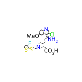 COc1ccc2ncc(Cl)c([C@H](N)CCC3CCN(CCSc4sccc4F)CC3CC(=O)O)c2c1